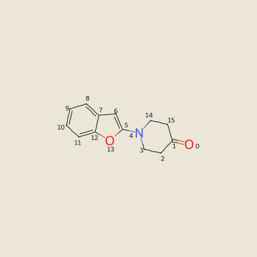 O=C1CCN(c2cc3ccccc3o2)CC1